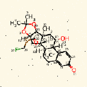 CC1(C)O[C@@H]2C[C@H]3[C@@H]4CCC5=CC(=O)C=C[C@]5(C)[C@H]4[C@@H](O)C[C@]3(C)[C@]2(C(=O)SCF)O1